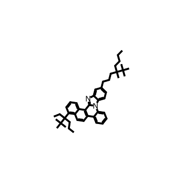 CCCCC(C)(CCCc1ccc2c(c1)nc1c3c4cccc(C(CC)(CCC)C(C)(C)C)c4ccc3c3ccccc3n21)C(C)(C)C